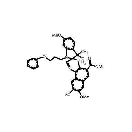 CNC(=O)c1cc2cc(OC)c(C(C)=O)cc2c2c1OC1(C=N2)N(CCCOc2ccccc2)c2cc(OC)ccc2C1(C)C